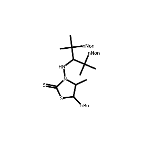 CCCCCCCCCC(C)(C)C(NN1C(=S)SC(CCCC)C1C)C(C)(C)CCCCCCCCC